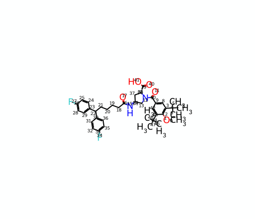 COc1c(C(C)(C)C)cc(C(=O)N2C[C@@H](NC(=O)CCCCC(c3ccc(F)cc3)c3ccc(F)cc3)C[C@H]2C(=O)O)cc1C(C)(C)C